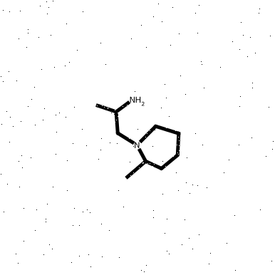 CC(N)CN1CCCCC1C